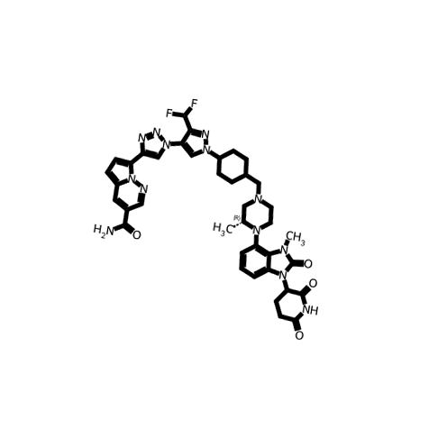 C[C@@H]1CN(CC2CCC(n3cc(-n4cc(-c5ccc6cc(C(N)=O)cnn56)nn4)c(C(F)F)n3)CC2)CCN1c1cccc2c1n(C)c(=O)n2C1CCC(=O)NC1=O